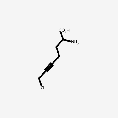 NC(CCC#CCCl)C(=O)O